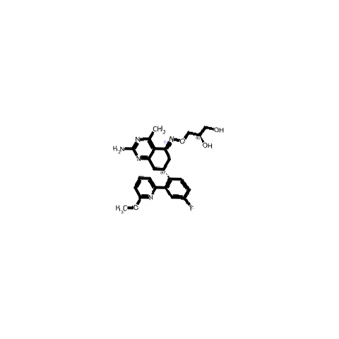 COc1cccc(-c2cc(F)ccc2[C@H]2C/C(=N\OC[C@H](O)CO)c3c(C)nc(N)nc3C2)n1